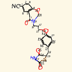 N#Cc1ccc2c(c1)C(=O)N(CCCOc1ccc(CC3SC(=O)NC3=O)cc1)CO2